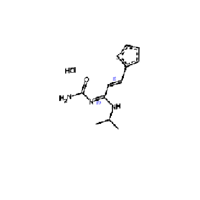 CC(C)NC(/C=C/c1cccs1)=N/C(N)=O.Cl